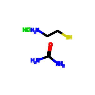 Cl.NC(N)=O.NCCS